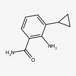 NC(=O)c1cccc(C2CC2)c1N